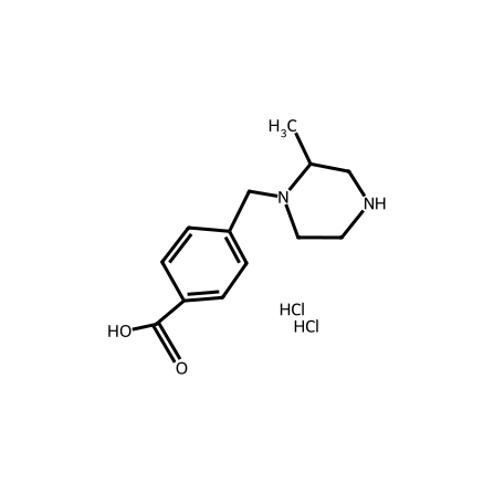 CC1CNCCN1Cc1ccc(C(=O)O)cc1.Cl.Cl